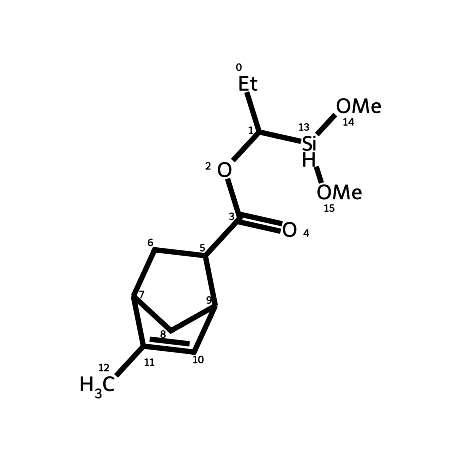 CCC(OC(=O)C1CC2CC1C=C2C)[SiH](OC)OC